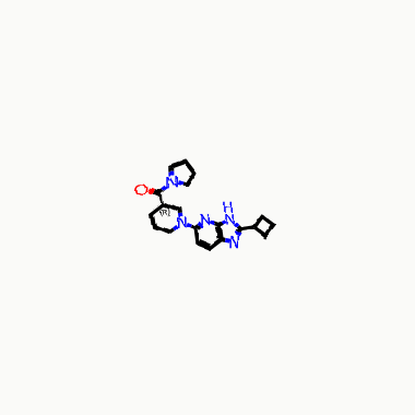 O=C([C@@H]1CCCN(c2ccc3nc(C4CCC4)[nH]c3n2)C1)N1CCCC1